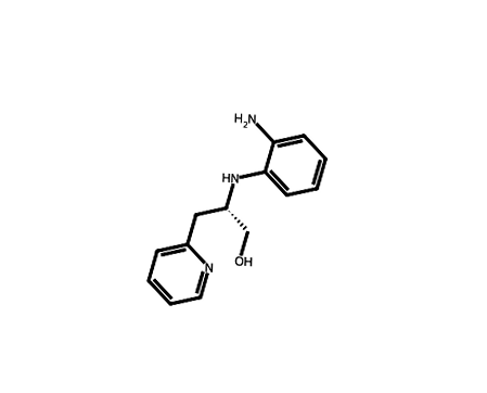 Nc1ccccc1N[C@H](CO)Cc1ccccn1